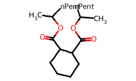 CCCCCC(C)OC(=O)C1CCCCC1C(=O)OC(C)CCCCC